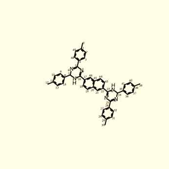 Cc1ccc(C2=NC(c3ccc(C)cc3)NC(c3ccc4cc(C5=NC(c6ccc(C)cc6)=NC(c6ccc(C)cc6)N5)ccc4c3)=N2)cc1